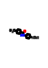 [CH2]c1ccc(C(=O)Nc2ccc(CCCCCCCC)cc2)cc1